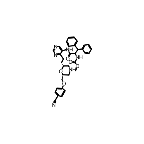 COC(=O)NC(C(=O)Nc1cncnc1CC[C@@H]1CNC[C@@H](COc2ccc(C#N)cc2)O1)C(c1ccccc1)c1ccccc1